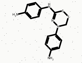 Nc1ccc(NC2=NN(c3ccc(N)cc3)CSS2)cc1